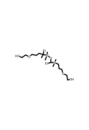 CCC(O[Si](C)(C)C(C)(CC)CCCOCCO)[Si](C)(C)CCCOCCO